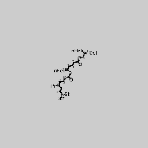 CCCCCCCCC(CCCCCC)COC(=O)CCCC(CCCCCC)OC(=O)OCCN(CCN(CC)CC)C(C)C